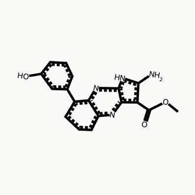 COC(=O)c1c(N)[nH]c2nc3c(-c4cccc(O)c4)cccc3nc12